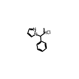 CCC(c1ccccc1)n1cccn1.Cl